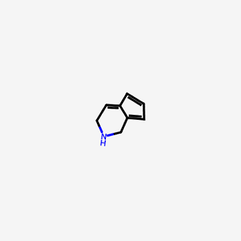 C1=CC2=CCNCC2=C1